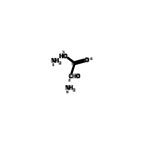 N.N.O=CC(=O)O